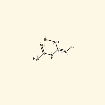 CCN/C(=N\C)NC(=N)N